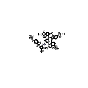 CCc1ccc(S(=O)(=O)O)c(CC)c1Nc1nc(N(c2nc3ccc(S(=O)(=O)O)cc3s2)c2c(CC)ccc(S(=O)(=O)O)c2CC)cc(C)c1/N=N/c1c(C#N)c(C(C)(C)C)nn1-c1nc2ccc(SOOO)cc2s1